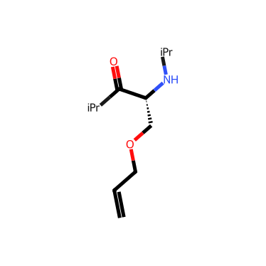 C=CCOC[C@@H](NC(C)C)C(=O)C(C)C